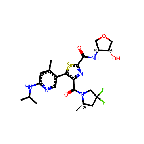 Cc1cc(NC(C)C)ncc1-c1sc(C(=O)N[C@H]2COC[C@@H]2O)nc1C(=O)N1CC(F)(F)C[C@@H]1C